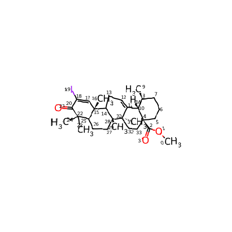 COC(=O)[C@]12CCC[C@H](C)[C@H]1C1=CCC3[C@@]4(C)C=C(I)C(=O)C(C)(C)C4CC[C@@]3(C)[C@]1(C)CC2